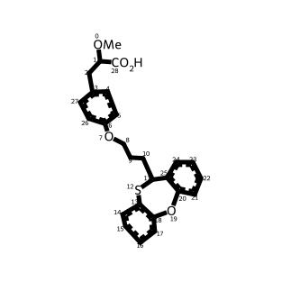 COC(Cc1ccc(OCCCC2Sc3ccccc3Oc3ccccc32)cc1)C(=O)O